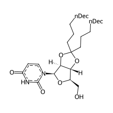 CCCCCCCCCCCCCC1(CCCCCCCCCCCCC)O[C@H]2[C@H](O1)[C@@H](CO)O[C@H]2n1ccc(=O)[nH]c1=O